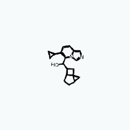 OC(c1c(C2CC2)ccc2cncn12)C1CC23CC2CCC13